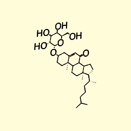 CC(C)CCC[C@@H](C)[C@H]1CCC2C3C(=O)C=C4CC(O[C@H]5O[C@H](CO)[C@H](O)[C@H](O)[C@H]5O)CC[C@]4(C)C3CC[C@@]21C